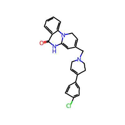 O=C1NC2=CC(CN3CC=C(c4ccc(Cl)cc4)CC3)=CCN2c2ccccc21